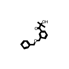 CC(C)(O)C(=O)c1cccc(COCc2ccccc2)c1